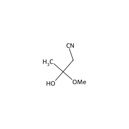 COC(C)(O)CC#N